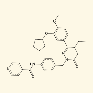 CCC1CC(=O)N(Cc2ccc(NC(=O)c3ccncc3)cc2)N=C1c1ccc(OC)c(OC2CCCC2)c1